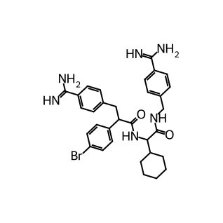 N=C(N)c1ccc(CNC(=O)C(NC(=O)C(Cc2ccc(C(=N)N)cc2)c2ccc(Br)cc2)C2CCCCC2)cc1